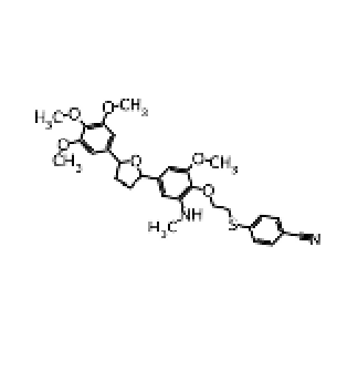 CNc1cc(C2CCC(c3cc(OC)c(OC)c(OC)c3)O2)cc(OC)c1OCCSc1ccc(C#N)cc1